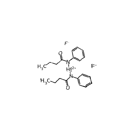 CCCC(=O)[N]([Hf+2][N](C(=O)CCC)c1ccccc1)c1ccccc1.[F-].[F-]